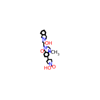 CN1CCN(C[C@H](O)CN2CCc3ccccc3C2)C(=O)c2ccc(C3=CCN(C(=O)O)CC3)cc21